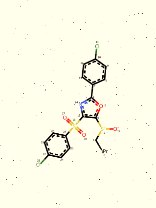 CC(C)C[S+]([O-])c1oc(-c2ccc(Cl)cc2)nc1S(=O)(=O)c1ccc(Cl)cc1